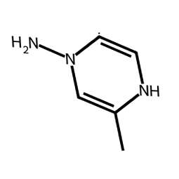 CC1=CN(N)[C]=CN1